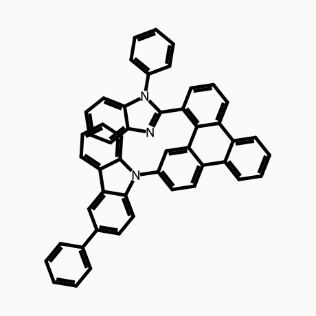 c1ccc(-c2ccc3c(c2)c2ccccc2n3-c2ccc3c4ccccc4c4cccc(-c5nc6ccccc6n5-c5ccccc5)c4c3c2)cc1